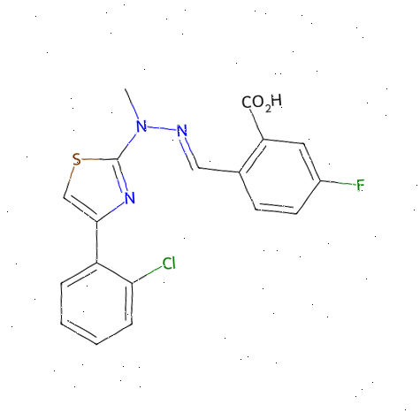 CN(N=Cc1ccc(F)cc1C(=O)O)c1nc(-c2ccccc2Cl)cs1